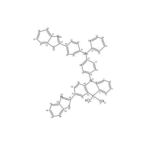 CC1(C)c2ccccc2N(c2ccc(N(c3ccccc3)c3ccc(-c4nc5ccccc5s4)cc3)cc2)c2ccc(-c3nc4ccccc4s3)cc21